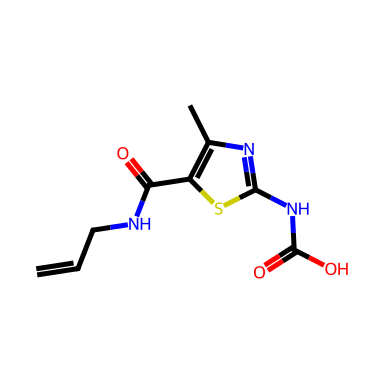 C=CCNC(=O)c1sc(NC(=O)O)nc1C